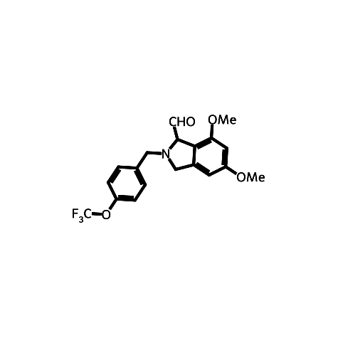 COc1cc2c(c(OC)c1)C(C=O)N(Cc1ccc(OC(F)(F)F)cc1)C2